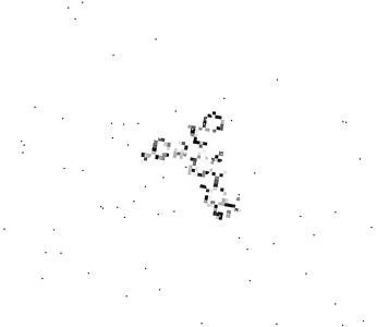 COc1ccc(C[C@H](Nc2nc3ccc(CN(C(=O)O)C(C)(C)C)c(C)c3c(=O)o2)C(=O)N(C)c2ccccc2)cc1